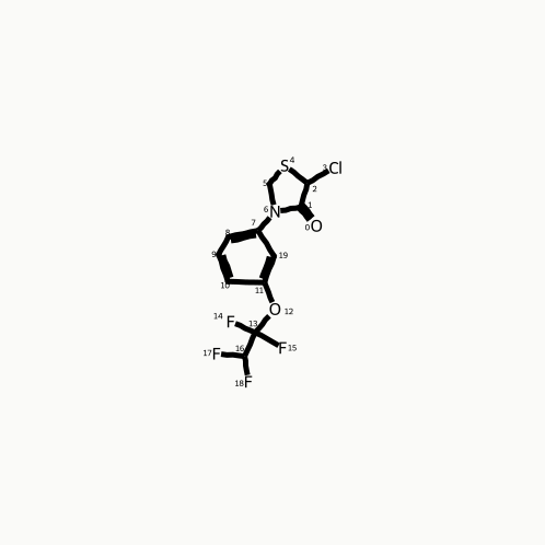 O=C1C(Cl)SCN1c1cccc(OC(F)(F)C(F)F)c1